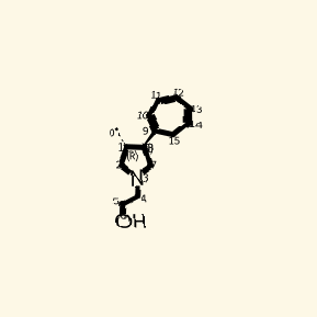 C[C@H]1CN(CCO)C[C@@H]1C1=CC=CC=CC1